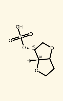 O=S(=O)(O)O[C@@H]1COC2CCO[C@@H]21